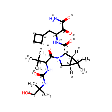 CC(C)(CO)NC(=O)N[C@H](C(=O)N1C[C@H]2[C@@H]([C@H]1C(=O)NC(CC1CCC1)C(=O)C(N)=O)C2(C)C)C(C)(C)C